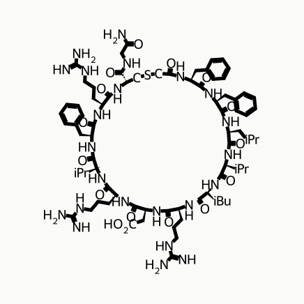 CC[C@H](C)[C@@H]1NC(=O)[C@H](C(C)C)NC(=O)[C@H](CC(C)C)NC(=O)[C@H](Cc2ccccc2)NC(=O)[C@H](Cc2ccccc2)NC(=O)CSC[C@@H](C(=O)NCC(N)=O)NC(=O)[C@H](CCCNC(=N)N)NC(=O)[C@H](Cc2ccccc2)NC(=O)[C@H](C(C)C)NC(=O)[C@H](CCCNC(=N)N)NC(=O)[C@H](CC(=O)O)NC(=O)[C@H](CCCNC(=N)N)NC1=O